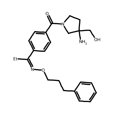 CCC(=NOCCCc1ccccc1)c1ccc(C(=O)N2CCC(N)(CO)C2)cc1